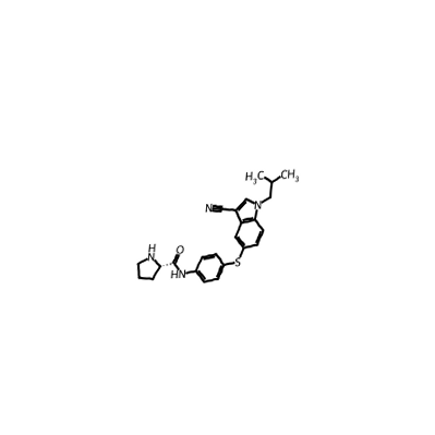 CC(C)Cn1cc(C#N)c2cc(Sc3ccc(NC(=O)[C@@H]4CCCN4)cc3)ccc21